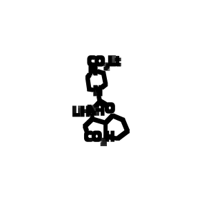 CCOC(=O)N1CCN(C(=O)NC(CC(=O)O)C2CCCCC2)CC1.[LiH]